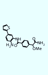 COC(C(N)=O)c1ccc(C(=O)Nc2cc(-c3cccs3)ccc2N)cc1